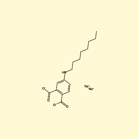 CCCCCCCCNc1ccc(C(=O)[O-])c(C(=O)[O-])c1.[Na+].[Na+]